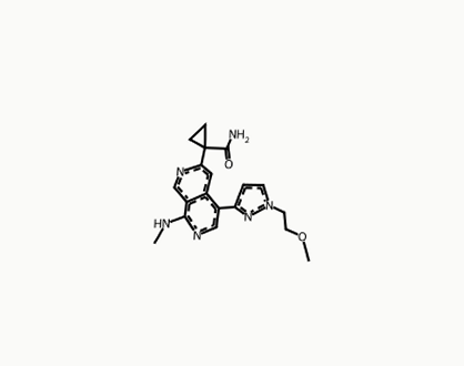 CNc1ncc(-c2ccn(CCOC)n2)c2cc(C3(C(N)=O)CC3)ncc12